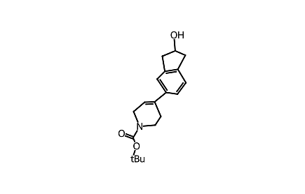 CC(C)(C)OC(=O)N1CC=C(c2ccc3c(c2)CC(O)C3)CC1